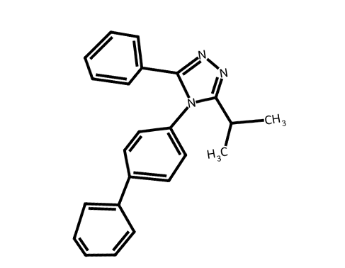 CC(C)c1nnc(-c2ccccc2)n1-c1ccc(-c2ccccc2)cc1